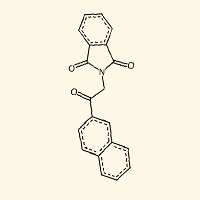 O=C(CN1C(=O)c2ccccc2C1=O)c1ccc2ccccc2c1